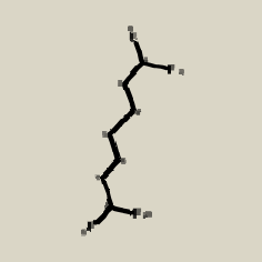 FC(F)CCCCCC(F)F